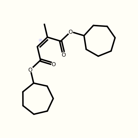 C/C(=C/C(=O)OC1CCCCCC1)C(=O)OC1CCCCCC1